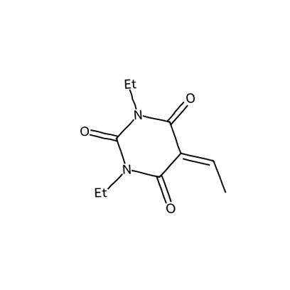 CC=C1C(=O)N(CC)C(=O)N(CC)C1=O